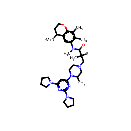 CCC(C)(CN1CCN(c2cc(N3CCCC3)nc(N3CCCC3)n2)C(C)C1)C([O])N(C)c1cc2c(c(C)c1C)OCCC2[N]C